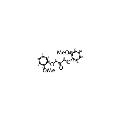 COc1ccccc1OCC(=O)COc1ccccc1OC